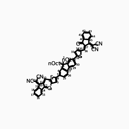 CCCCCCCCC1(CCCCCCCC)c2cc(-c3ccc(/C=C4\C(=O)c5ccccc5C4=C(C#N)C#N)s3)ccc2-c2ccc(-c3ccc(/C=C4\C(=O)c5ccccc5C4=C(C#N)C#N)s3)cc21